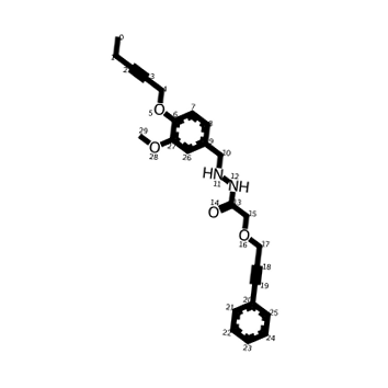 CCC#CCOc1ccc(CNNC(=O)COCC#Cc2ccccc2)cc1OC